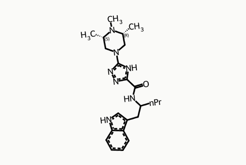 CCCC(Cc1c[nH]c2ccccc12)NC(=O)c1nnc(N2C[C@@H](C)N(C)[C@@H](C)C2)[nH]1